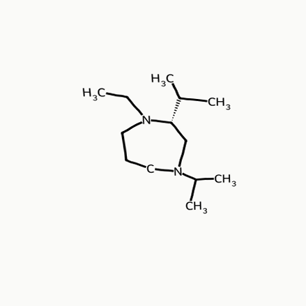 CCN1CCCN(C(C)C)C[C@H]1C(C)C